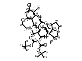 C[C@H](c1nccnc1N(C(=O)OC(C)(C)C)C(=O)OC(C)(C)C)N1CCOc2nc(Cl)c(F)c3nc(OC[C@@]45CCCN4C[C@H](F)C5)nc1c23